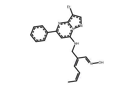 C\C=C/C=C(\C=N\O)CNc1cc(-c2ccccc2)nc2c(CC)cnn12